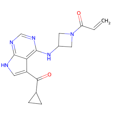 C=CC(=O)N1CC(Nc2ncnc3[nH]cc(C(=O)C4CC4)c23)C1